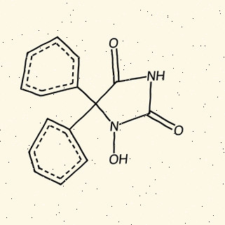 O=C1NC(=O)C(c2ccccc2)(c2ccccc2)N1O